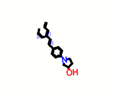 C=C/C=C(\C=C/C)/C=C/c1ccc(N2CCC(O)C2)cc1